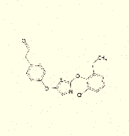 CCc1cccc(Cl)c1Oc1ncc(Oc2ccc(CC=O)cc2)s1